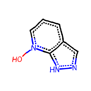 O[n+]1cccc2cn[nH]c21